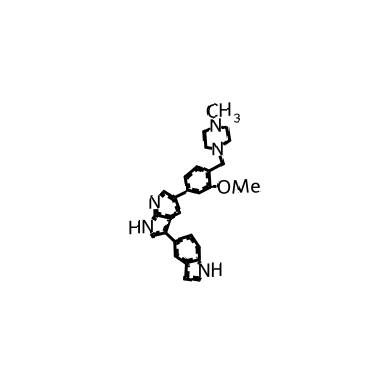 COc1cc(-c2cnc3[nH]cc(-c4ccc5[nH]ccc5c4)c3c2)ccc1CN1CCN(C)CC1